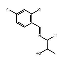 CC(O)C(Cl)N=Cc1ccc(Cl)cc1Cl